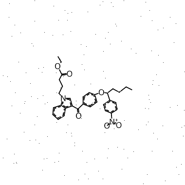 CCCCC(Oc1ccc(C(=O)c2cn(CCCC(=O)OCC)c3ccccc23)cc1)c1ccc([N+](=O)[O-])cc1